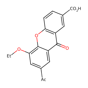 CCOc1cc(C(C)=O)cc2c(=O)c3cc(C(=O)O)ccc3oc12